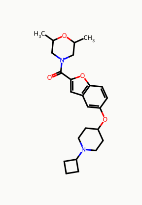 CC1CN(C(=O)c2cc3cc(OC4CCN(C5CCC5)CC4)ccc3o2)CC(C)O1